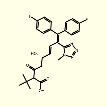 Cn1nnnc1C(C=C[C@@H](O)CC(=O)C(C(=O)O)C(C)(C)C)=C(c1ccc(F)cc1)c1ccc(F)cc1